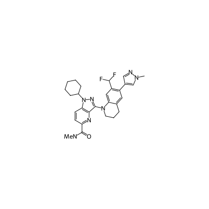 CNC(=O)c1ccc2c(n1)c(N1CCCc3cc(-c4cnn(C)c4)c(C(F)F)cc31)nn2C1CCCCC1